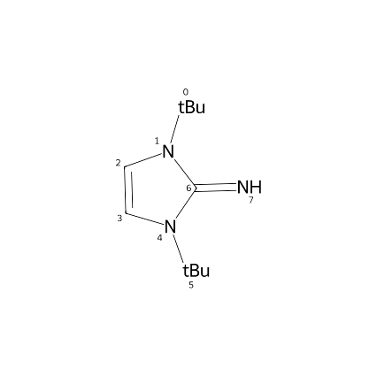 CC(C)(C)n1ccn(C(C)(C)C)c1=N